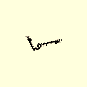 CCC(=O)Oc1cccc(CCCCCCCC2SC2CC2SC2CC2CSSCC(CC3SC3CC3SC3CCCCCCCc3cccc(OC(=O)CC)c3)SS2)c1